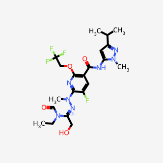 CCN(C=O)/C(CO)=N\N(C)c1nc(OCC(F)(F)F)c(C(=O)Nc2cc(C(C)C)nn2C)cc1F